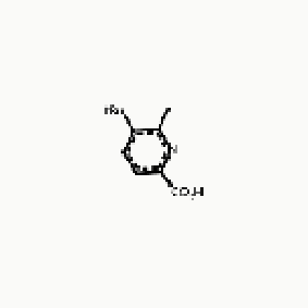 Cc1nc(C(=O)O)ccc1C(C)(C)C